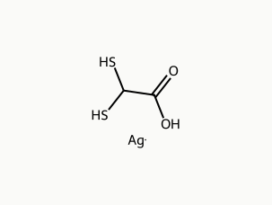 O=C(O)C(S)S.[Ag]